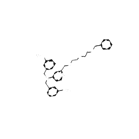 COc1cccc(CN(Cc2cccc(OC)c2)c2ccnc(COCCOCCOCc3ccccc3)c2)c1